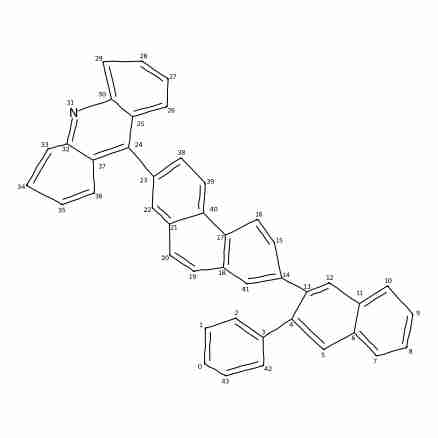 c1ccc(-c2cc3ccccc3cc2-c2ccc3c(ccc4cc(-c5c6ccccc6nc6ccccc56)ccc43)c2)cc1